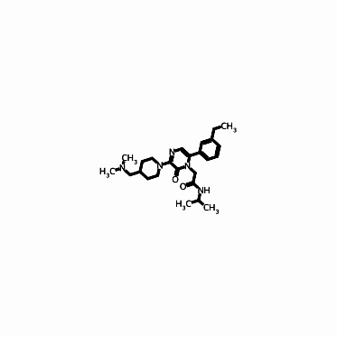 CCc1cccc(-c2cnc(N3CCC(CN(C)C)CC3)c(=O)n2CC(=O)NC(C)C)c1